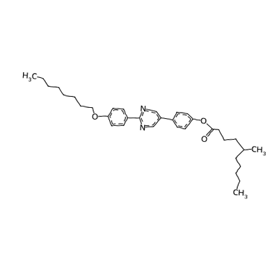 CCCCCCCCOc1ccc(-c2ncc(-c3ccc(OC(=O)CCCC(C)CCCCC)cc3)cn2)cc1